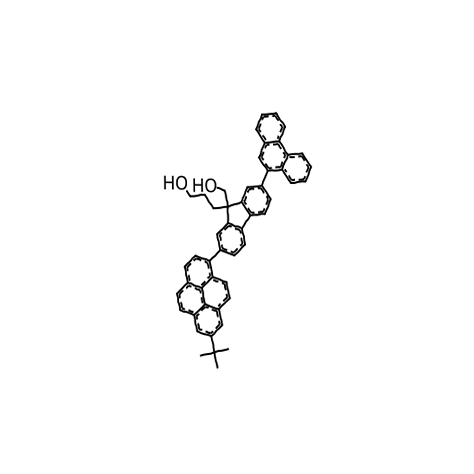 CC(C)(C)c1cc2ccc3ccc(-c4ccc5c(c4)C(CO)(CCCO)c4cc(-c6cc7ccccc7c7ccccc67)ccc4-5)c4ccc(c1)c2c34